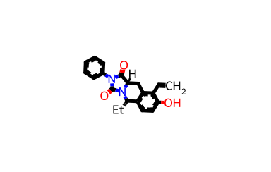 C=Cc1c(O)ccc2c1C[C@H]1C(=O)N(c3ccccc3)C(=O)N1C2CC